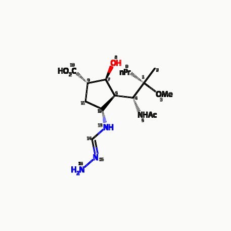 CCC[C@](C)(OC)[C@H](NC(C)=O)[C@@H]1[C@H](O)[C@@H](C(=O)O)C[C@H]1NC=NN